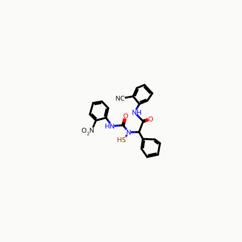 N#Cc1ccccc1NC(=O)C(c1ccccc1)N(S)C(=O)Nc1ccccc1[N+](=O)[O-]